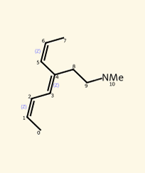 C\C=C/C=C(\C=C/C)CCNC